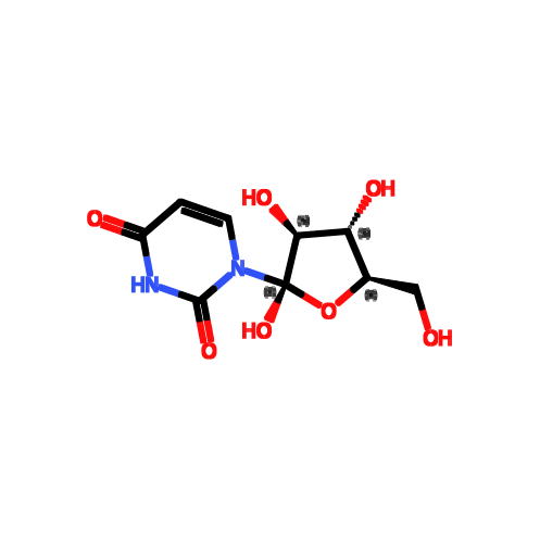 O=c1ccn([C@@]2(O)O[C@H](CO)[C@@H](O)[C@@H]2O)c(=O)[nH]1